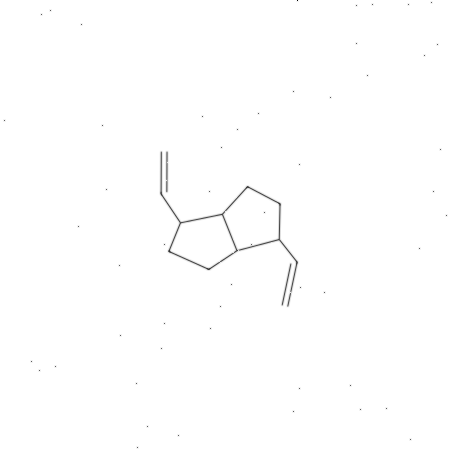 C=CC1CCC2C(C=C)CCC12